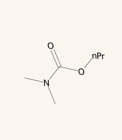 C[CH]COC(=O)N(C)C